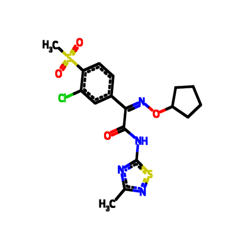 Cc1nsc(NC(=O)C(=NOC2CCCC2)c2ccc(S(C)(=O)=O)c(Cl)c2)n1